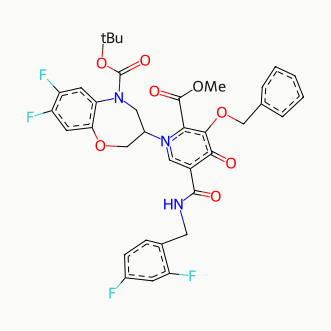 COC(=O)c1c(OCc2ccccc2)c(=O)c(C(=O)NCc2ccc(F)cc2F)cn1C1COc2cc(F)c(F)cc2N(C(=O)OC(C)(C)C)C1